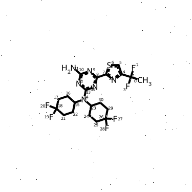 CC(F)(F)c1csc(-c2nc(N)nc(N(C3CCC(F)(F)CC3)C3CCC(F)(F)CC3)n2)n1